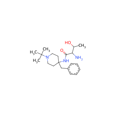 CC(O)C(N)C(=O)NC1(Cc2ccccc2)CCN(C(C)(C)C)CC1